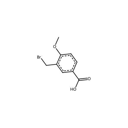 COc1ccc(C(=O)O)cc1CBr